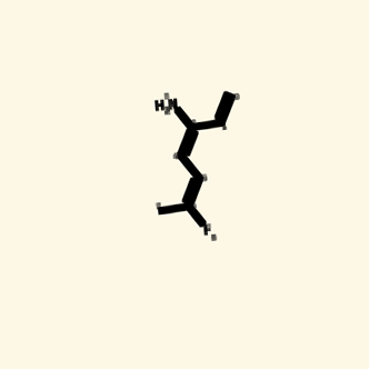 C=C/C(N)=C\C=C(/C)F